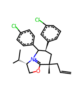 C=CC[C@@]1(C)C[C@H](c2cccc(Cl)c2)C(c2ccc(Cl)cc2)[N+]2=C1OC[C@@H]2C(C)C